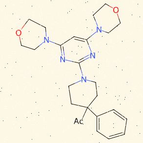 CC(=O)C1(c2ccccc2)CCN(c2nc(N3CCOCC3)cc(N3CCOCC3)n2)CC1